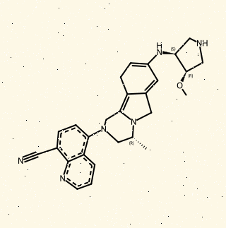 CO[C@@H]1CNC[C@@H]1NC1=CCC2=C3CN(c4ccc(C#N)c5ncccc45)C[C@@H](C)N3CC2=C1